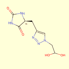 O=C1NC(=O)[C@H](Cc2cn(CC(O)O)nn2)N1